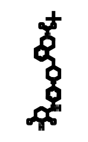 CC(C)(C)OC(=O)N1CCc2c(CC3CCN(c4ccc(NC5CCC(=O)NC5=O)cc4)CC3)cccc2C1